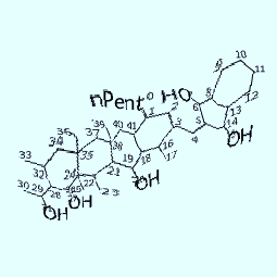 CCCCCC1CC(CC2C(O)C3CCCCC3C2O)C(C)C2C(O)C3C(C)C4(C)C(O)C(C(C)O)C(C)CC4(C)CC3(C)CC12